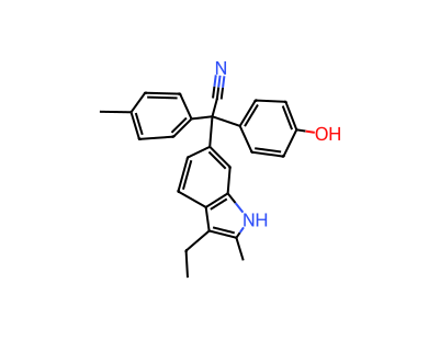 CCc1c(C)[nH]c2cc(C(C#N)(c3ccc(C)cc3)c3ccc(O)cc3)ccc12